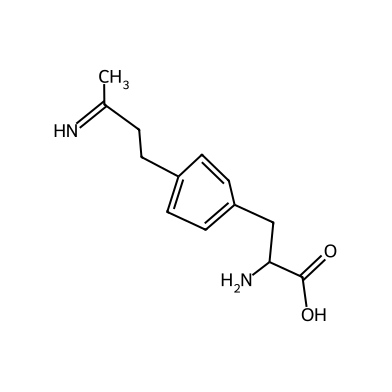 CC(=N)CCc1ccc(CC(N)C(=O)O)cc1